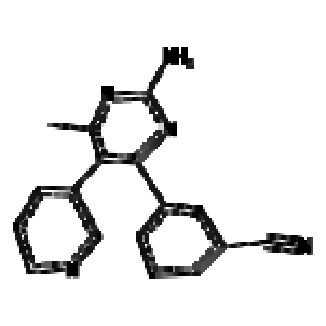 Cc1nc(N)nc(-c2cccc(C#N)c2)c1-c1cccnc1